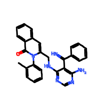 Cc1ccccc1-n1c(CNc2ncnc(N)c2C(=N)c2ccccc2)cc2ccccc2c1=O